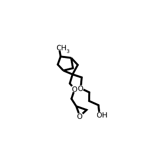 CC1CC2CC1CC2(COCCCO)COCC1CO1